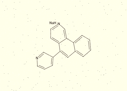 [NaH].c1cncc(-c2cc3ccccc3c3cnccc23)c1